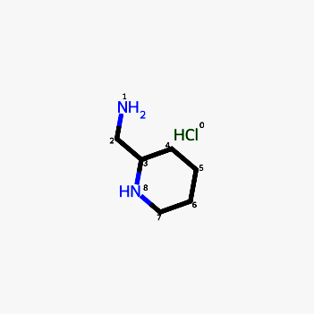 Cl.NCC1CCCCN1